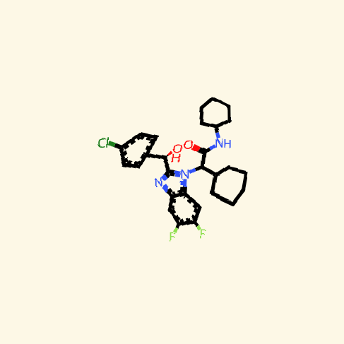 O=C(NC1CCCCC1)C(C1CCCCC1)n1c([C@H](O)c2ccc(Cl)cc2)nc2cc(F)c(F)cc21